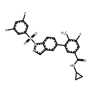 Cc1c(F)cc(C(=O)NC2CC2)cc1-c1ccc2c(cnn2S(=O)(=O)c2cc(F)cc(F)c2)c1